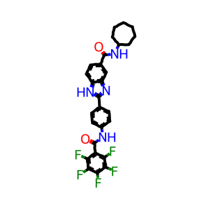 O=C(NC1CCCCCC1)c1ccc2[nH]c(-c3ccc(NC(=O)c4c(F)c(F)c(F)c(F)c4F)cc3)nc2c1